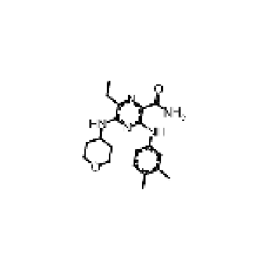 CCc1nc(C(N)=O)c(Nc2ccc(C)c(C)c2)nc1NC1CCOCC1